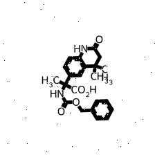 CC1(C)CC(=O)Nc2ccc(C(C)(NC(=O)OCc3ccccc3)C(=O)O)cc21